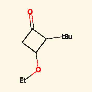 CCOC1CC(=O)C1C(C)(C)C